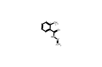 C=NNC(=O)c1ccccc1C